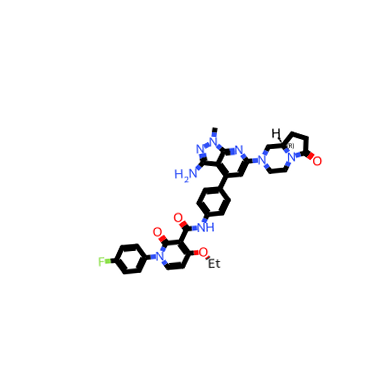 CCOc1ccn(-c2ccc(F)cc2)c(=O)c1C(=O)Nc1ccc(-c2cc(N3CCN4C(=O)CC[C@@H]4C3)nc3c2c(N)nn3C)cc1